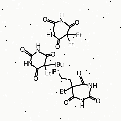 CCC(C)C1(CC)C(=O)NC(=O)NC1=O.CCC1(CC)C(=O)NC(=O)NC1=O.CCC1(CCC(C)C)C(=O)NC(=O)NC1=O